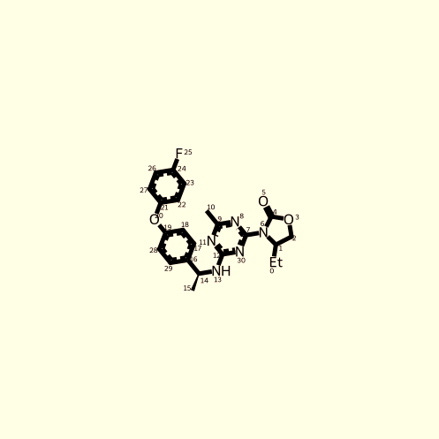 CCC1COC(=O)N1c1nc(C)nc(N[C@@H](C)c2ccc(Oc3ccc(F)cc3)cc2)n1